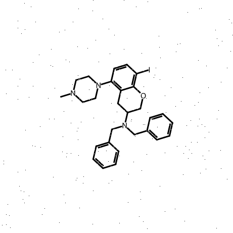 CN1CCN(c2ccc(I)c3c2CC(N(Cc2ccccc2)Cc2ccccc2)CO3)CC1